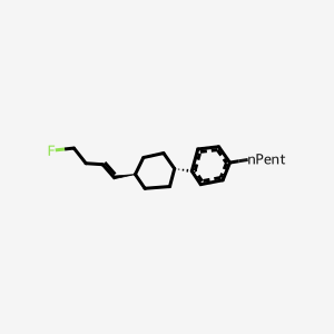 CCCCCc1ccc([C@H]2CC[C@H](C=CCCF)CC2)cc1